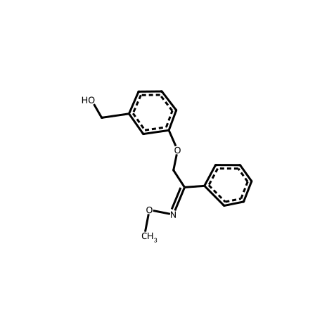 CO/N=C(\COc1cccc(CO)c1)c1ccccc1